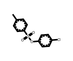 Cc1ccc(S(=O)(=O)Oc2ccc(Cl)cc2)cc1